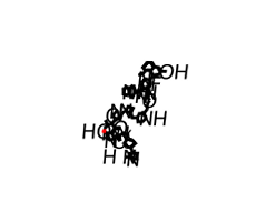 CCc1cccc2cc(O)cc(-c3ncc4c(N5CC6CCC(C5)N6)nc(OCCC5CC(CC6CCN6c6cc(C(C(=O)C7C(O)CNC7C(=O)N[C@@H](C)c7ccc(-c8ccnn8C)cc7)C(C)C)on6)CCN5)nc4c3F)c12